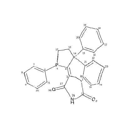 O=C1C/C(=C2/P(c3ccccc3)CCC2(c2ccccc2)c2ccccc2)C(=O)N1